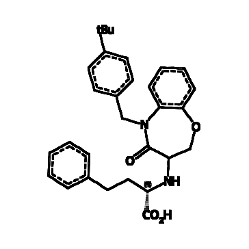 CC(C)(C)c1ccc(CN2C(=O)C(N[C@@H](CCc3ccccc3)C(=O)O)COc3ccccc32)cc1